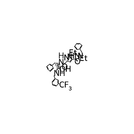 CCN(Cc1ccccc1)NC(=O)c1cc(C(=O)N[C@@H](Cc2ccccc2)[C@H](O)CNCc2cccc(C(F)(F)F)c2)nn1CC